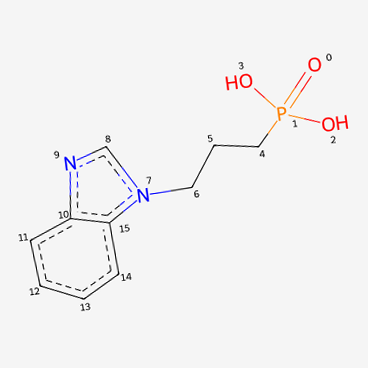 O=P(O)(O)CCCn1cnc2ccccc21